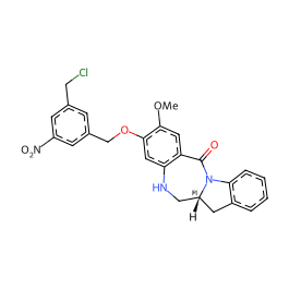 COc1cc2c(cc1OCc1cc(CCl)cc([N+](=O)[O-])c1)NC[C@H]1Cc3ccccc3N1C2=O